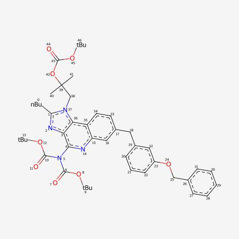 CCCCc1nc2c(N(C(=O)OC(C)(C)C)C(=O)OC(C)(C)C)nc3cc(Cc4cccc(OCc5ccccc5)c4)ccc3c2n1CC(C)(C)OC(=O)OC(C)(C)C